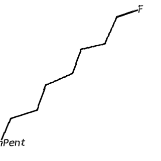 C[CH]CCCCCCCCCCF